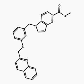 COC(=O)c1ccc2c(ccn2Cc2cccc(OCc3ccc4ccccc4n3)c2)c1